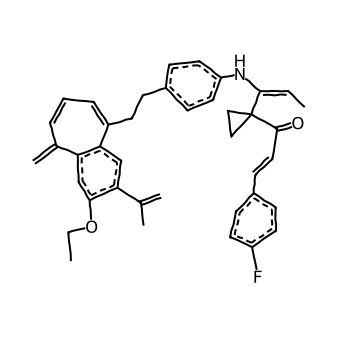 C=C(C)c1cc2c(cc1OCC)C(=C)C=CC=C2CCc1ccc(N/C(=C/C)C2(C(=O)/C=C/c3ccc(F)cc3)CC2)cc1